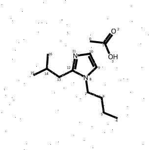 CC(=O)O.CCCCn1ccnc1CC(C)C